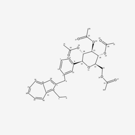 CCc1c(Cc2cccc([C@@H]3O[C@H](COC(C)=O)[C@@H](OC(C)=O)[C@H](OC(C)=O)[C@H]3OC(C)=O)c2)cc2cccccc1-2